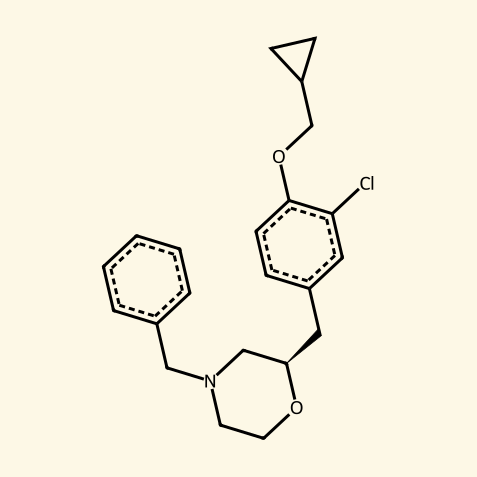 Clc1cc(C[C@@H]2CN(Cc3ccccc3)CCO2)ccc1OCC1CC1